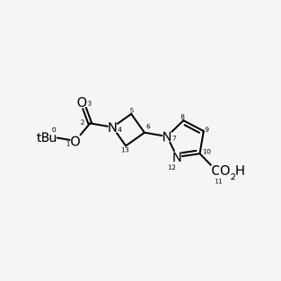 CC(C)(C)OC(=O)N1CC(n2ccc(C(=O)O)n2)C1